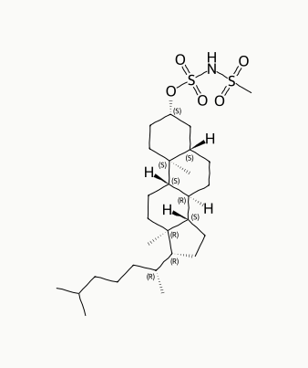 CC(C)CCC[C@@H](C)[C@H]1CC[C@H]2[C@@H]3CC[C@H]4C[C@@H](OS(=O)(=O)NS(C)(=O)=O)CC[C@]4(C)[C@H]3CC[C@]12C